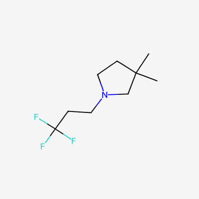 CC1(C)CCN(CCC(F)(F)F)C1